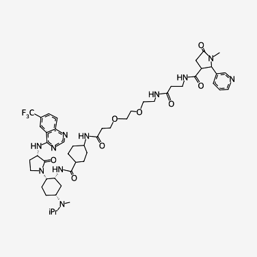 CC(C)N(C)[C@@H]1CC[C@H](N2CC[C@H](Nc3ncnc4ccc(C(F)(F)F)cc34)C2=O)[C@H](NC(=O)C2CCC(NC(=O)CCOCCOCCNC(=O)CCNC(=O)C3CC(=O)N(C)C3c3cccnc3)CC2)C1